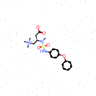 CN([C@H](CC(=O)[O-])C[N+](C)(C)C)S(=O)(=O)Nc1ccc(Oc2ccccc2)cc1